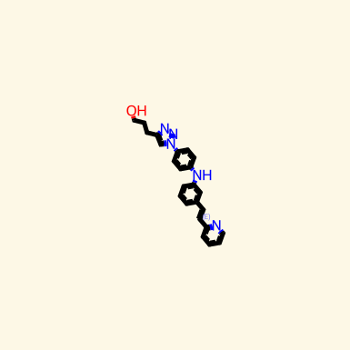 OCCCc1cn(-c2ccc(Nc3cccc(/C=C/c4ccccn4)c3)cc2)nn1